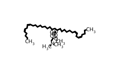 CCCC/C=C\C/C=C\CCCCCCCCC(CCCCCCCC/C=C\C/C=C\CCCC)OP(=O)(OCCN(C)C)OOC